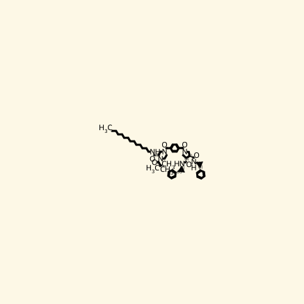 CCCCCCCCCCCCCCNC(=O)[C@@H]1CN(C(=O)c2ccc(C(=O)N3C[C@@H](C(=O)N[C@H]4C[C@@H]4c4ccccc4)[C@H](C(=O)N[C@H]4C[C@@H]4c4ccccc4)C3)cc2)CCN1C(=O)C(C)(C)C